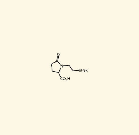 CCCCCCCCN1C(=O)CCC1C(=O)O